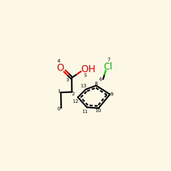 CCCC(=O)O.CCl.c1ccccc1